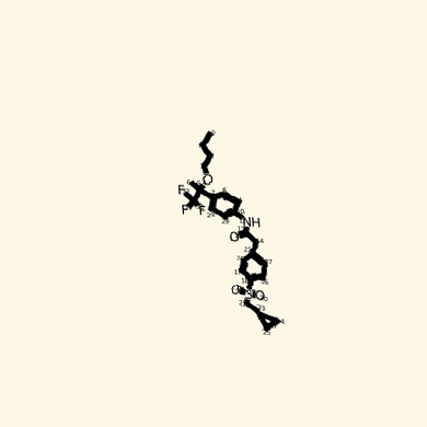 CCCCOC(C)(c1ccc(NC(=O)Cc2ccc(S(=O)(=O)CC3CC3)cc2)cc1)C(F)(F)F